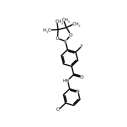 CC1(C)OB(c2ccc(C(=O)Nc3cc(Cl)ccn3)cc2F)OC1(C)C